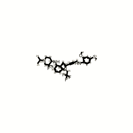 COc1cc(SC)ccc1NCC#Cc1cc2c(N[C@H]3CCN(C(C)C)C[C@@]3(C)F)cccc2n1CC(F)(F)F